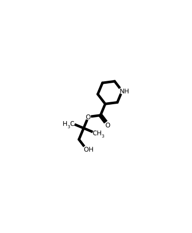 CC(C)(CO)OC(=O)C1CCCNC1